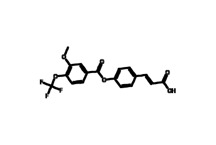 COc1cc(C(=O)Oc2ccc(C=CC(=O)O)cc2)ccc1OC(F)(F)F